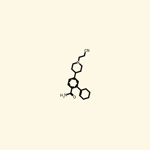 N#CCCN1CCC(c2ccc(C(N)=O)c(C3=CCCCC3)c2)CC1